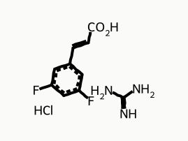 Cl.N=C(N)N.O=C(O)C=Cc1cc(F)cc(F)c1